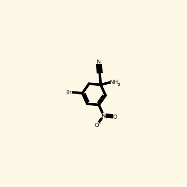 N#CC1(N)C=C([N+](=O)[O-])C=C(Br)C1